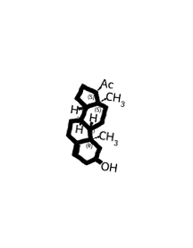 CC(=O)[C@H]1CC[C@H]2[C@@H]3CCC4=CCC(O)C[C@]4(C)[C@H]3CC[C@]12C